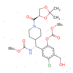 CC(C)(C)OC(=O)N[C@@H](c1cc(Cl)c(CO)cc1OC(=O)OC(C)(C)C)C1CCN(C(=O)[C@H]2COC(C)(C)O2)CC1